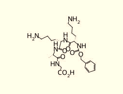 C[C@H](NC(=O)[C@H](CCCCN)NC(=O)[C@H](CCCCN)NC(=O)OCc1ccccc1)C(=O)NCC(=O)O